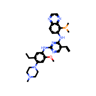 C=Cc1cnc(Nc2cc(CC)c(N3CCN(C)CC3)cc2OC)nc1Nc1ccc2nccnc2c1P(C)C